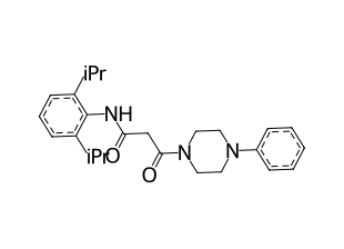 CC(C)c1cccc(C(C)C)c1NC(=O)CC(=O)N1CCN(c2ccccc2)CC1